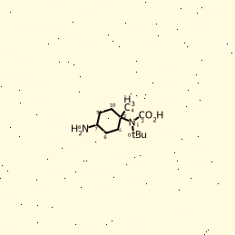 CC(C)(C)N(C(=O)O)C1(C)CCC(N)CC1